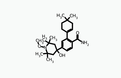 CON1C(C)(C)CC(O)(c2ccc(C(N)=O)c(C3=CCC(C)(C)CC3)c2)CC1(C)C